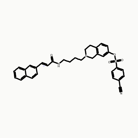 N#Cc1ccc(S(=O)(=O)Oc2ccc3c(c2)CN(CCCCNC(=O)/C=C/c2ccc4ccccc4c2)CC3)cc1